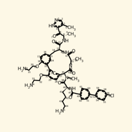 Cc1cn[nH]c1C(=O)[C@H](C)NC(=O)[C@@H]1Cc2ccc(OCCN)c(c2)-c2cc(ccc2OCCN)[C@H](N(C)C(=O)[C@H](CCCCN)NC(=O)c2ccc(-c3ccc(Cl)cc3)cc2)C(=O)N[C@@H](C)C(=O)N1